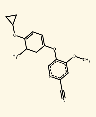 COc1cc(C#N)ncc1OC1=CC=C(OC2CC2)C(C)C1